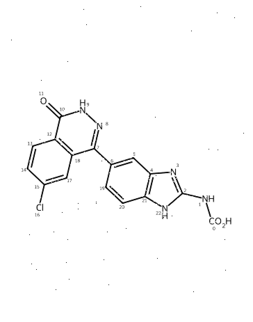 O=C(O)Nc1nc2cc(-c3n[nH]c(=O)c4ccc(Cl)cc34)ccc2[nH]1